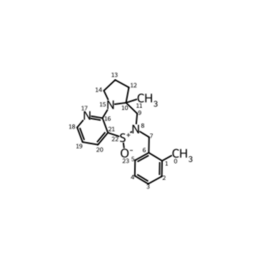 Cc1ccccc1CN1CC2(C)CCCN2c2ncccc2[S+]1[O-]